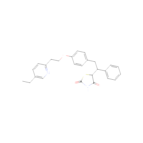 CCc1ccc(CCOc2ccc(CC(c3ccccc3)C3SC(=O)NC3=O)cc2)nc1